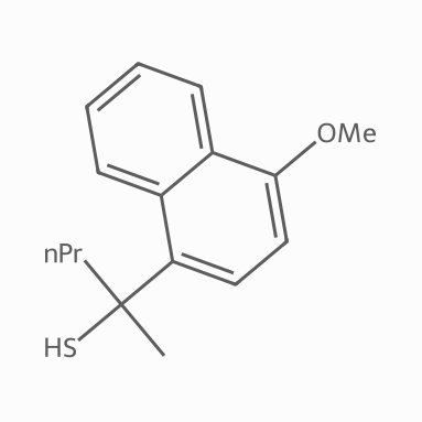 CCCC(C)(S)c1ccc(OC)c2ccccc12